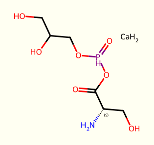 N[C@@H](CO)C(=O)O[PH](=O)OCC(O)CO.[CaH2]